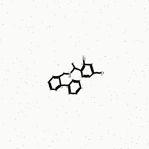 CCc1ccc(C(C)NCc2ccccc2-c2ccccc2)c(CC)c1